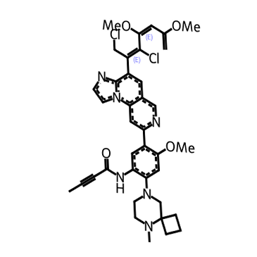 C=C(/C=C(OC)\C(Cl)=C(/CCl)c1cc2cnc(-c3cc(NC(=O)C#CC)c(N4CCN(C)C5(CCC5)C4)cc3OC)cc2n2ccnc12)OC